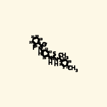 Cc1ccc(C(C)NC(=S)Nc2ccc(NC(=O)c3ccccc3F)cc2)cc1